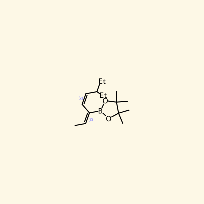 C/C=C(\C=C/C(CC)CC)B1OC(C)(C)C(C)(C)O1